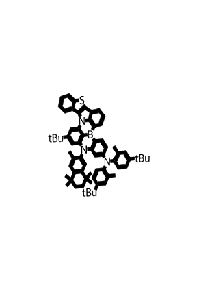 Cc1cc(C(C)(C)C)ccc1N(c1ccc2c(c1)N(c1cc3c(cc1C)C(C)(C)CCC3(C)C)c1cc(C(C)(C)C)cc3c1B2c1cccc2c4sc5ccccc5c4n-3c12)c1ccc(C(C)(C)C)cc1C